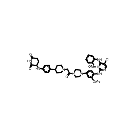 COc1cc(N2CCN(C(=O)CN3CCC(c4ccc(NC5CCC(=O)NC5=O)cc4)CC3)CC2)ccc1Nc1ncc(Cl)c(Nc2ccccc2OC)n1